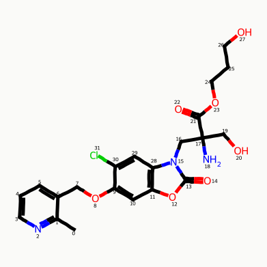 Cc1ncccc1COc1cc2oc(=O)n(CC(N)(CO)C(=O)OCCCO)c2cc1Cl